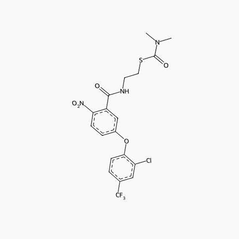 CN(C)C(=O)SCCNC(=O)c1cc(Oc2ccc(C(F)(F)F)cc2Cl)ccc1[N+](=O)[O-]